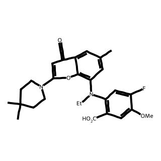 CCN(c1cc(F)c(OC)cc1C(=O)O)c1cc(C)cc2c(=O)cc(N3CCC(C)(C)CC3)oc12